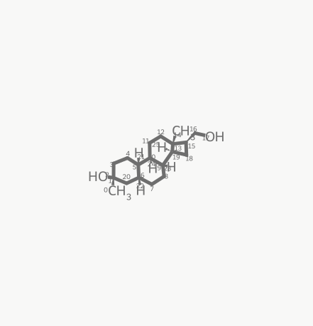 C[C@@]1(O)CC[C@H]2[C@H](CC[C@@H]3[C@@H]2CC[C@]2(C)[C@@H](CO)C[C@@H]32)C1